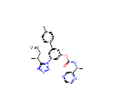 COC[C@H](C)c1nnnn1-c1cc(OC(=O)NC(C)c2cnccn2)cc(-c2ccc(C)cc2)c1